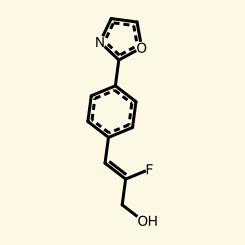 OC/C(F)=C/c1ccc(-c2ncco2)cc1